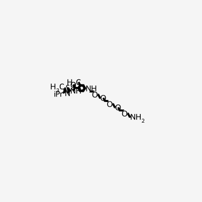 Cc1cc(NCCOCCOCCOCCOCCOCCN)ccc1C(=O)Nc1nc(C(C)C)c(C)s1